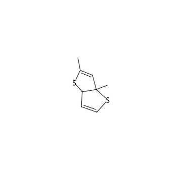 CC1=CC2(C)SC=CC2S1